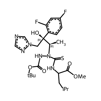 COC(=O)C(CC(C)C)NC(=S)N(NC(=O)OC(C)(C)C)[C@H](C)[C@](O)(Cn1cncn1)c1ccc(F)cc1F